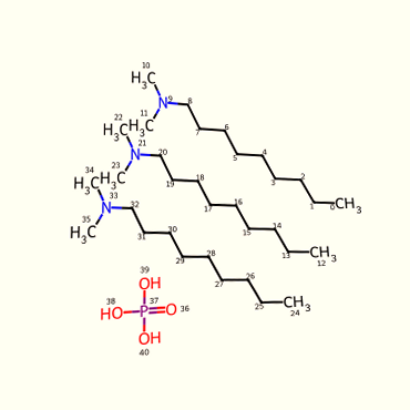 CCCCCCCCCN(C)C.CCCCCCCCCN(C)C.CCCCCCCCCN(C)C.O=P(O)(O)O